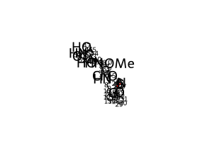 COc1cc(C(=O)NCCCCc2cccc(C3(C(=O)OC4CN5CCC4CC5)CCCCC3)c2)c(Cl)cc1CNC[C@H](O)c1ccc(O)c2[nH]c(=O)ccc12